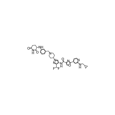 O=C1CCC(Nc2cccc(CN3CCC(n4cc(NC(=O)c5coc(-c6ccnc(NCC7CC7)c6)n5)c(C(F)F)n4)CC3)c2)C(=O)N1